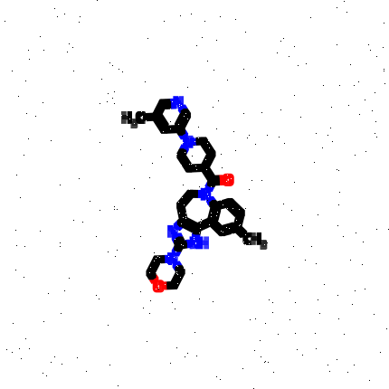 Cc1cncc(N2CCC(C(=O)N3CCc4nc(N5CCOCC5)[nH]c4-c4cc(C)ccc43)CC2)c1